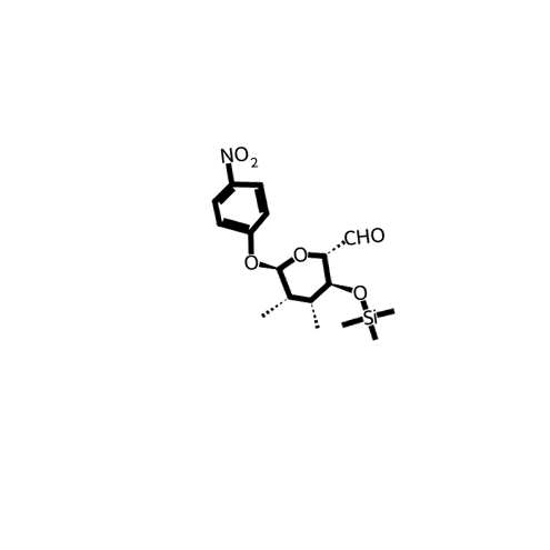 C[C@@H]1[C@@H](Oc2ccc([N+](=O)[O-])cc2)O[C@H](C=O)[C@@H](O[Si](C)(C)C)[C@@H]1C